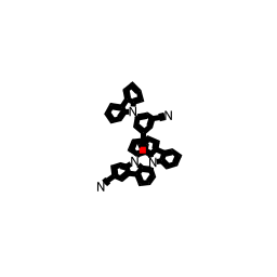 N#Cc1cc(-c2ccc(-n3c4ccc(C#N)cc4c4cccc(-n5c6ccccc6c6ccccc65)c43)cc2)cc(-n2c3ccccc3c3ccccc32)c1